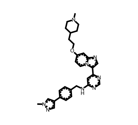 CN1CCC(CCOc2ccn3c(-c4cc(NCc5ccc(-c6cnn(C)c6)cc5)ncn4)cnc3c2)CC1